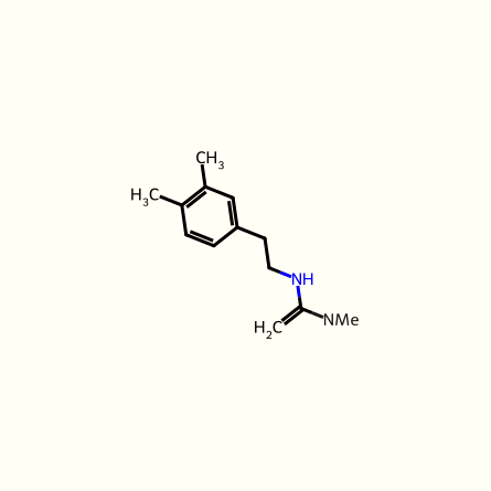 C=C(NC)NCCc1ccc(C)c(C)c1